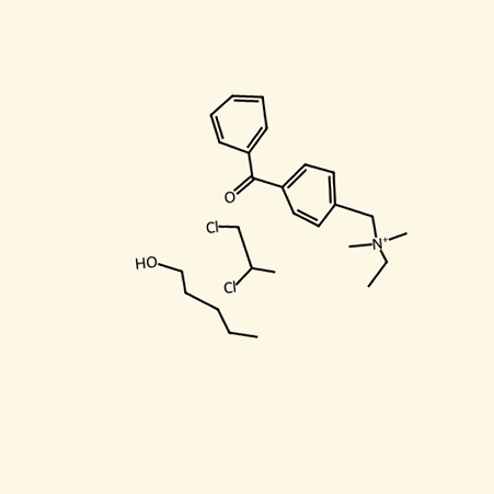 CC(Cl)CCl.CCCCCO.CC[N+](C)(C)Cc1ccc(C(=O)c2ccccc2)cc1